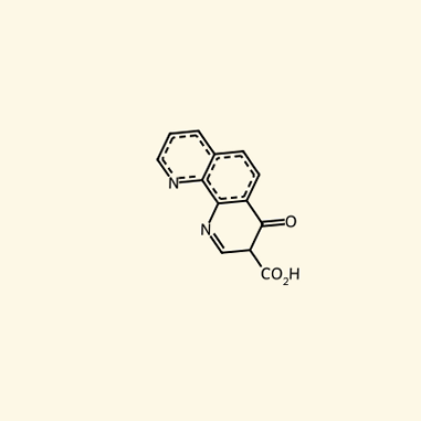 O=C(O)C1C=Nc2c(ccc3cccnc23)C1=O